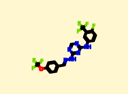 Fc1ccc(Nc2ncnc(NN=Cc3ccc(OC(F)(F)F)cc3)n2)cc1C(F)(F)F